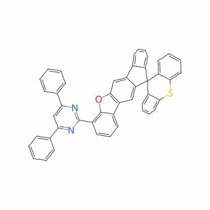 c1ccc(-c2cc(-c3ccccc3)nc(-c3cccc4c3oc3cc5c(cc34)C3(c4ccccc4Sc4ccccc43)c3ccccc3-5)n2)cc1